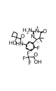 CN1C(=O)C(C)(C)[C@@](C)(c2cc(NC(=O)C3(O)CCC3)ccc2F)N=C1N.O=C(O)C(F)(F)F